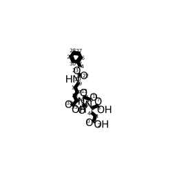 O=C(O)CC[C@@H](C(=O)O)N1C(=O)C(=O)N(C(CCCCNC(=O)OCc2ccccc2)C(=O)O)C1=O